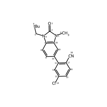 Cn1c(=O)n(CC(C)(C)C)c2ccc(-c3cc(Cl)ccc3C#N)cc21